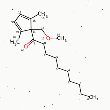 CCCCCCCCCC(=O)C1(COC)C(C)=CC=C1C